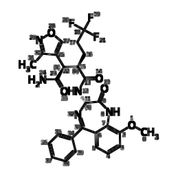 COc1cccc2c1NC(=O)[C@@H](NC(=O)[C@H](CCC(F)(F)F)[C@@H](C(N)=O)c1conc1C)N=C2c1ccccc1